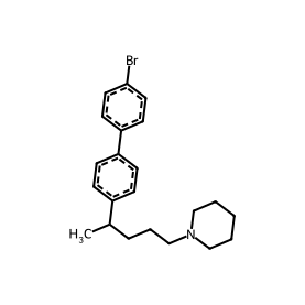 CC(CCCN1CCCCC1)c1ccc(-c2ccc(Br)cc2)cc1